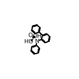 O=P(O)(O)N(c1ccccc1)c1ccccc1-c1ccccc1